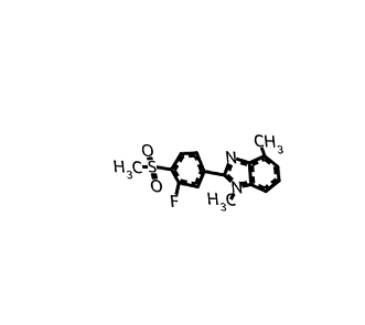 Cc1cccc2c1nc(-c1ccc(S(C)(=O)=O)c(F)c1)n2C